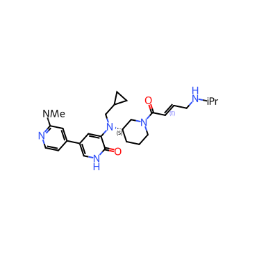 CNc1cc(-c2c[nH]c(=O)c(N(CC3CC3)[C@H]3CCCN(C(=O)/C=C/CNC(C)C)C3)c2)ccn1